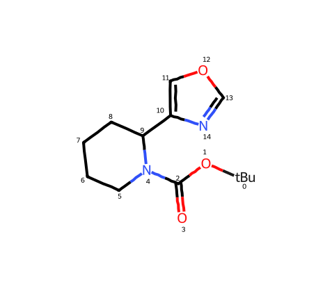 CC(C)(C)OC(=O)N1CCCCC1c1cocn1